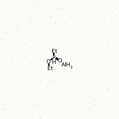 CCO[PH](=O)CC.[AlH3]